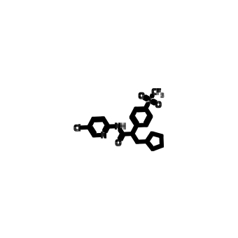 O=C(Nc1ccc(Cl)cn1)C(CC1CCCC1)c1ccc(S(=O)(=O)C(F)(F)F)cc1